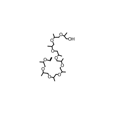 C=COC(C)COC(C)COC(C)COC(C)COC(C)COC(C)COC(C)COC(C)COC(C)CO